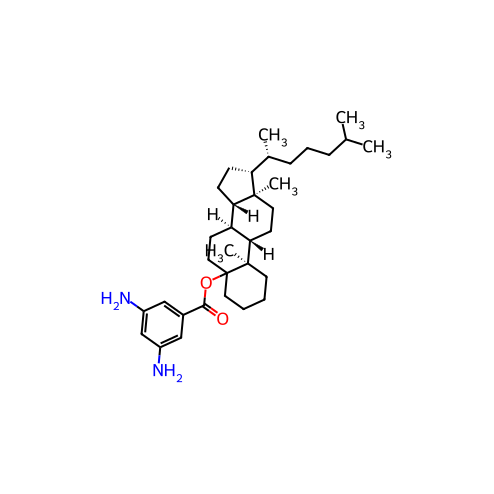 CC(C)CCC[C@@H](C)[C@H]1CC[C@H]2[C@@H]3CCC4(OC(=O)c5cc(N)cc(N)c5)CCCC[C@]4(C)[C@H]3CC[C@]12C